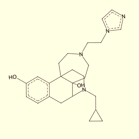 Oc1ccc2c(c1)C13CCN(CCn4ccnc4)CCC1(O)C(C2)N(CC1CC1)CC3